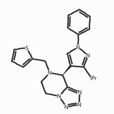 CC(C)c1nn(-c2ccccc2)cc1[C@H]1c2nnnn2CCN1Cc1cccs1